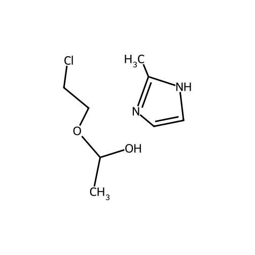 CC(O)OCCCl.Cc1ncc[nH]1